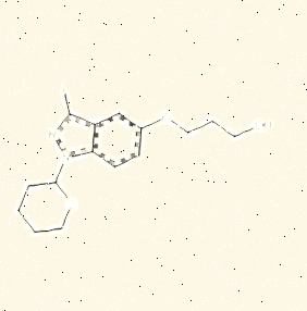 OCCCOc1ccc2c(c1)c(I)nn2C1CCCCO1